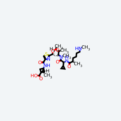 CNCCCC[C@@H](C)C(=O)N[C@H](C(=O)N(C)[C@H](C[C@@H](OC(C)=O)c1nc(C(=O)NC23CC(C(=O)O)(C2)[C@@H]3C)cs1)C(C)C)C1CC1